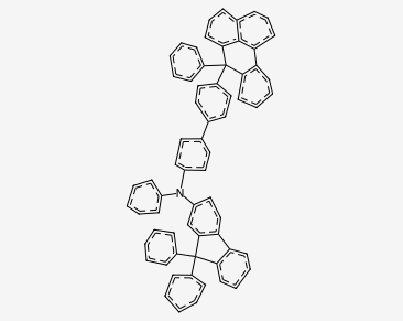 c1ccc(N(c2ccc(-c3ccc(C4(c5ccccc5)c5ccccc5-c5cccc6cccc4c56)cc3)cc2)c2ccc3c(c2)C(c2ccccc2)(c2ccccc2)c2ccccc2-3)cc1